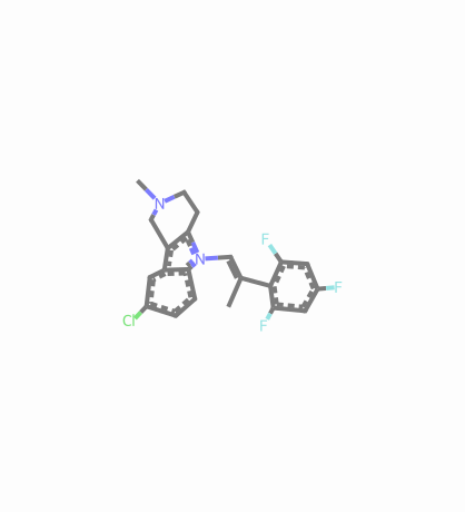 CC(=Cn1c2c(c3cc(Cl)ccc31)CN(C)CC2)c1c(F)cc(F)cc1F